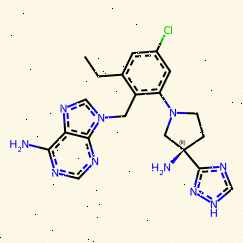 CCc1cc(Cl)cc(N2CC[C@](N)(c3nc[nH]n3)C2)c1Cn1cnc2c(N)ncnc21